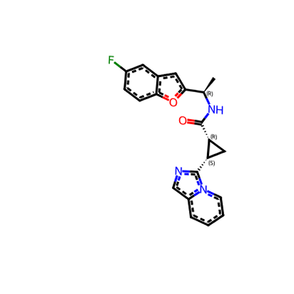 C[C@@H](NC(=O)[C@@H]1C[C@@H]1c1ncc2ccccn12)c1cc2cc(F)ccc2o1